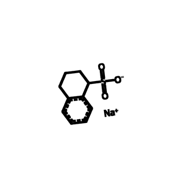 O=S(=O)([O-])C1CCCc2ccccc21.[Na+]